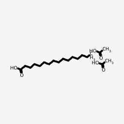 CC(=O)O.CC(=O)O.CCCCCCCCCCCCCCCC(=O)O